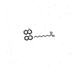 CCCCCCCCCC(Br)Br.c1ccc2ncccc2c1.c1ccc2ncccc2c1